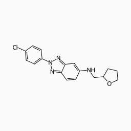 Clc1ccc(-n2nc3ccc(NCC4CCCO4)cc3n2)cc1